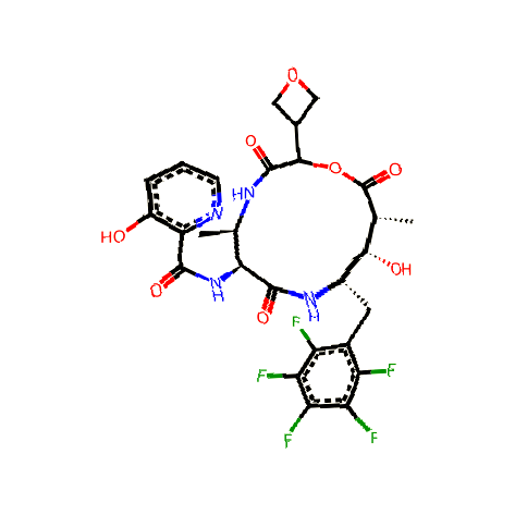 C[C@H]1NC(=O)C(C2COC2)OC(=O)[C@H](C)[C@H](O)[C@H](Cc2c(F)c(F)c(F)c(F)c2F)NC(=O)[C@H]1NC(=O)c1ncccc1O